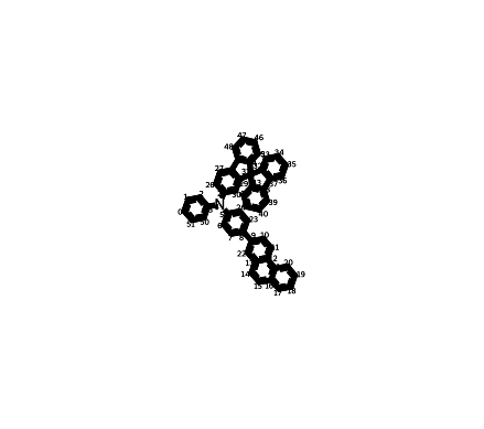 c1ccc(N(c2ccc(-c3ccc4c(ccc5ccccc54)c3)cc2)c2ccc3c(c2)C2(c4ccccc4-c4ccccc42)c2ccccc2-3)cc1